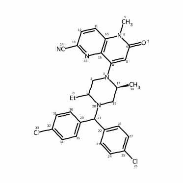 CCC1CN(c2cc(=O)n(C)c3ccc(C#N)nc23)[C@@H](C)CN1C(c1ccc(Cl)cc1)c1ccc(Cl)cc1